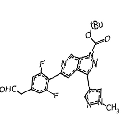 Cn1cc(-c2nn(C(=O)OC(C)(C)C)c3cnc(-c4c(F)cc(CC=O)cc4F)cc23)cn1